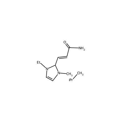 CC(C)C.CCN1C=CN(C)C1C=CC(N)=O